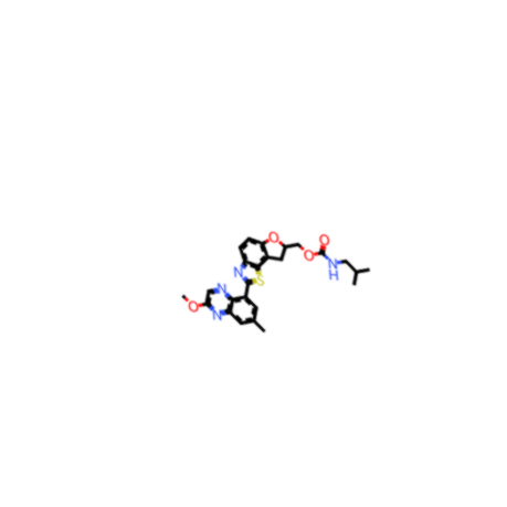 COc1cnc2c(-c3nc4ccc5c(c4s3)CC(COC(=O)NCC(C)C)O5)cc(C)cc2n1